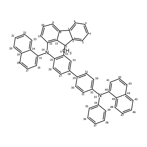 CC12c3ccccc3-c3cccc(c31)N(c1cccc3ccccc13)c1ccc(-c3ccc(N(c4ccccc4)c4cccc5ccccc45)cc3)cc12